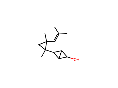 CC(C)=CC1(C)CC1(C)C1C2C(O)C21